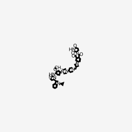 COc1cc(N2CCN(C3CCN(CC4CN(c5ccc6c(c5)C(=O)N(C5CCC(=O)NC5=O)C6=O)C4)CC3)CC2)ccc1Nc1nccc(-c2cn(C3CC3)c3ccccc23)n1